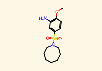 COc1ccc(S(=O)(=O)N2CCCCCCC2)cc1N